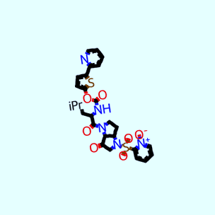 CC(C)CC(NC(=O)Oc1ccc(-c2ccccn2)s1)C(=O)N1CCC2C1C(=O)CN2S(=O)(=O)c1cccc[n+]1[O-]